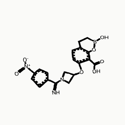 N=C(c1ccc([N+](=O)[O-])cc1)N1CC(Oc2ccc3c(c2C(=O)O)OB(O)CC3)C1